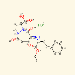 Br.CCOC(=O)[C@H](CCc1ccccc1)N[C@H]1CCC(=O)N2CCC(C(=O)O)N2C1=O